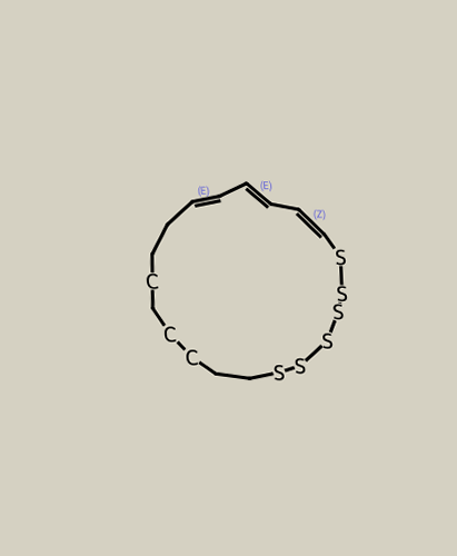 C1=C\SSSSSSCCCCCCCC/C=C/C=C/1